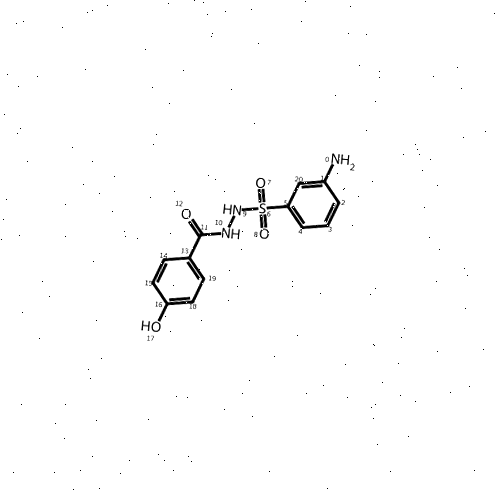 Nc1cccc(S(=O)(=O)NNC(=O)c2ccc(O)cc2)c1